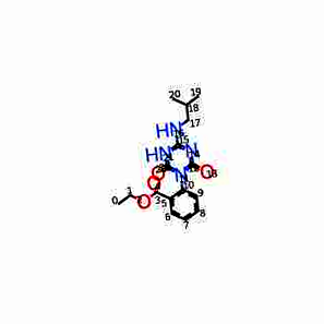 CCOC(=O)c1ccccc1-n1c(=O)nc(NCC(C)C)[nH]c1=O